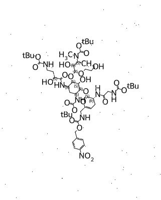 C[C@@H]([C@@H](O)[C@H](OCCO)O[C@@H]1[C@@H](O)[C@H](O[C@H]2OC(CNC(=O)OCc3ccc([N+](=O)[O-])cc3)=CC[C@H]2NC(=O)CNC(=O)OC(C)(C)C)[C@@H](NC(=O)OC(C)(C)C)C[C@H]1NC(=O)[C@@H](O)CCNC(=O)OC(C)(C)C)N(C)C(=O)OC(C)(C)C